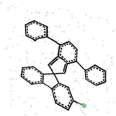 Brc1ccc2c(c1)C1(C=c3c(-c4ccccc4)ccc(-c4ccccc4)c3=C1)c1ccccc1-2